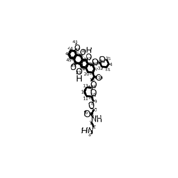 CNCCNC(=O)COCC1CCCC(OCC(=O)C2Cc3c(O)c4c(c(O)c3[C@@H](O[C@H]3CCCCO3)C2)C(=O)c2c(OC)cccc2C4=O)O1